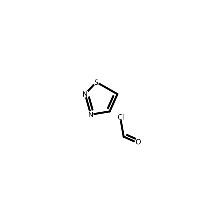 O=CCl.c1csnn1